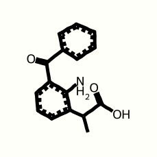 CC(C(=O)O)c1cccc(C(=O)c2ccccc2)c1N